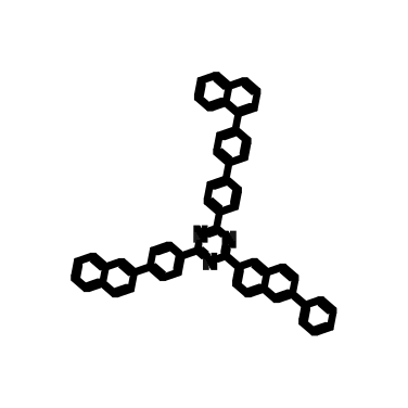 c1ccc(-c2ccc3cc(-c4nc(-c5ccc(-c6ccc(-c7cccc8ccccc78)cc6)cc5)nc(-c5ccc(-c6ccc7ccccc7c6)cc5)n4)ccc3c2)cc1